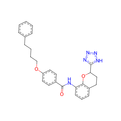 O=C(Nc1cccc2c1OC(c1nnn[nH]1)CC2)c1ccc(OCCCCc2ccccc2)cc1